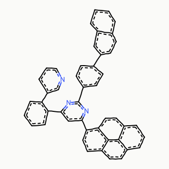 c1cncc(-c2ccccc2-c2cc(-c3ccc4ccc5cccc6ccc3c4c56)nc(-c3ccc(-c4ccc5ccccc5c4)cc3)n2)c1